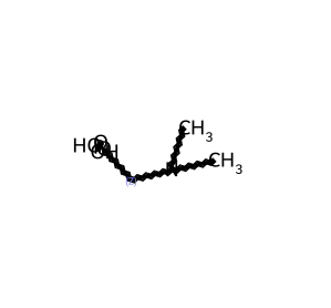 CCCCCCCCCCN(CCCCCCCC/C=C\CCCCCCCCOP(=O)(O)O)CCCCCCCCCC